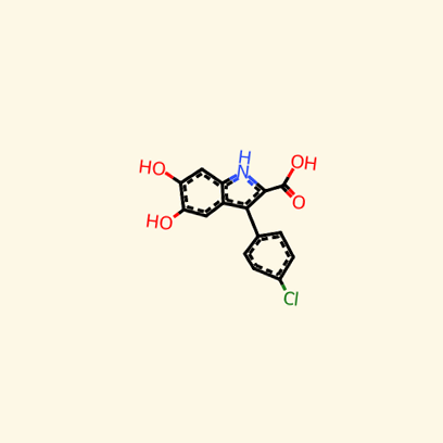 O=C(O)c1[nH]c2cc(O)c(O)cc2c1-c1ccc(Cl)cc1